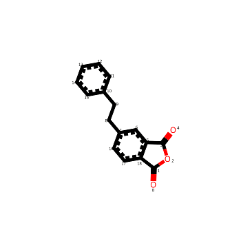 O=C1OC(=O)c2cc(CCc3ccccc3)ccc21